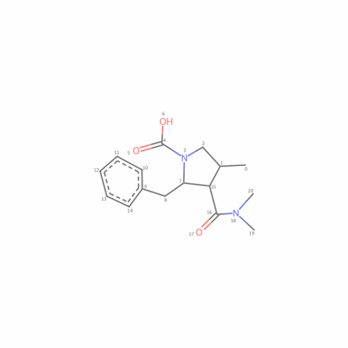 CC1CN(C(=O)O)C(Cc2ccccc2)C1C(=O)N(C)C